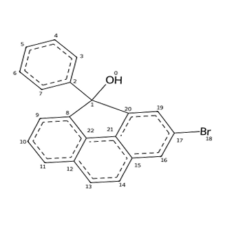 OC1(c2ccccc2)c2cccc3ccc4cc(Br)cc1c4c23